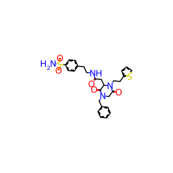 NS(=O)(=O)c1ccc(CCNC(=O)CC2C(=O)N(Cc3ccccc3)CC(=O)N2CCc2cccs2)cc1